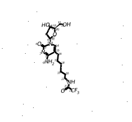 Nc1nc(=O)n([C@H]2C[C@H](O)[C@@H](CO)O2)cc1CCCCCCNC(=O)C(F)(F)F